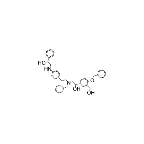 OCc1cc([C@@H](O)CN(CCc2ccc(NC[C@@H](O)c3ccccc3)cc2)Cc2ccccc2)ccc1OCc1ccccc1